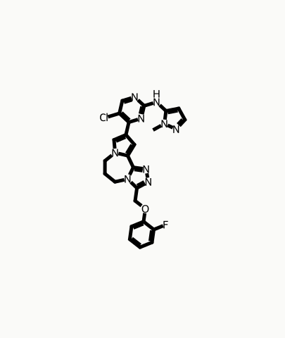 Cn1nccc1Nc1ncc(Cl)c(-c2cc3n(c2)CCCn2c(COc4ccccc4F)nnc2-3)n1